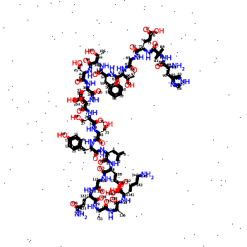 CC(C)C[C@H](NC(=O)[C@H](Cc1ccc(O)cc1)NC(=O)[C@@H](CO)NC(=O)[C@H](CO)NC(=O)[C@@H](NC(=O)[C@H](CC(=O)O)NC(=O)[C@H](CO)NC(=O)[C@@H](NC(=O)[C@H](Cc1ccccc1)NC(=O)[C@@H](NC(=O)CNC(=O)[C@H](CCC(=O)O)NC(=O)C(C)(C)NC(=O)[C@@H](N)Cc1c[nH]cn1)[C@@H](C)O)[C@@H](C)O)C(C)C)C(=O)N[C@@H](CCC(=O)O)C(=O)NCC(=O)N[C@@H](CCC(N)=O)C(=O)N[C@@H](C)C(=O)N[C@@H](C)C(=O)N[C@@H](CCCCN)C(=O)O